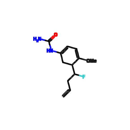 C=CCC(F)C1CC(NC(N)=O)=CC=C1OC